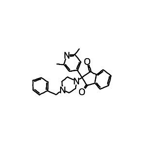 Cc1cc(C2(N3CCN(Cc4ccccc4)CC3)C(=O)c3ccccc3C2=O)cc(C)n1